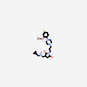 CC(C)Oc1cc(F)ccc1N1CCN(CCCN2C(=O)CC(CNCC3CC3)C2=O)CC1